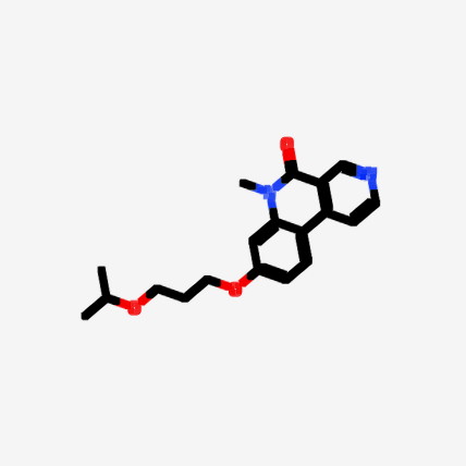 CC(C)OCCCOc1ccc2c3ccncc3c(=O)n(C)c2c1